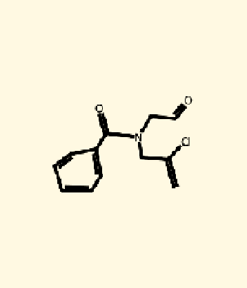 C=C(Cl)CN(CC=O)C(=O)c1ccccc1